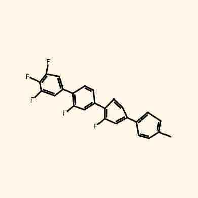 Cc1ccc(-c2ccc(-c3ccc(-c4cc(F)c(F)c(F)c4)c(F)c3)c(F)c2)cc1